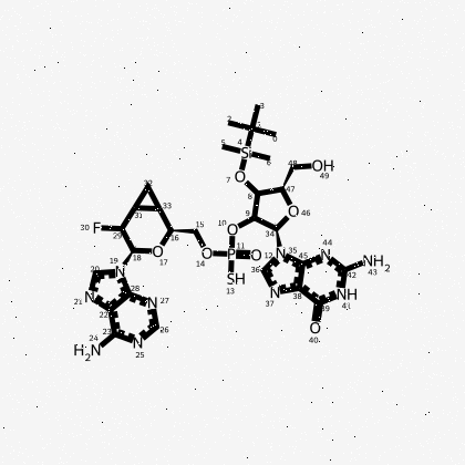 CC(C)(C)[Si](C)(C)OC1C(OP(=O)(S)OC[C@H]2O[C@@H](n3cnc4c(N)ncnc43)C(F)C3CC32)[C@H](n2cnc3c(=O)[nH]c(N)nc32)O[C@@H]1CO